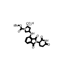 CC(C)(C)OC(=O)N1CC(Nc2cccc3c2C(=O)N(C2CCC(=O)NC2=O)C3=O)C[C@H]1C(=O)O